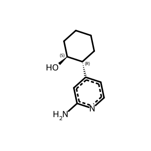 Nc1cc([C@H]2CCCC[C@@H]2O)ccn1